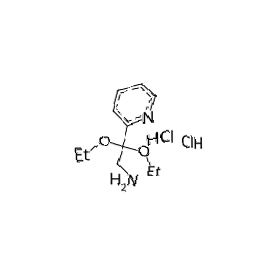 CCOC(CN)(OCC)c1ccccn1.Cl.Cl